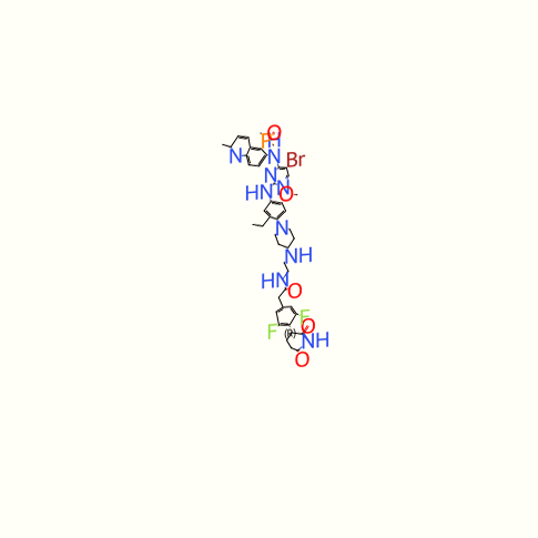 CCc1cc(Nc2ncc(Br)c(Nc3ccc4nc(C)ccc4c3P(C)(C)=O)n2)c(OC)cc1N1CCC(NCCNC(=O)Cc2cc(F)c([C@H]3CCC(=O)NC3=O)c(F)c2)CC1